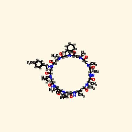 CCC(C)[C@@H]1NC(=O)[C@H](C)N(C)C(=O)C[C@@H](C)NC(=O)[C@H](CC(C)C)N(C)C(=O)C(C)(C)NC(=O)[C@H](CC(C)C)N(C)C(=O)[C@H](CCc2ccc(C(F)(F)F)cc2)NC(=O)CN(C)C(=O)[C@H](CC2CCCCC2)N(C)C(=O)CN(C)C(=O)CN(C)C1=O